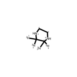 [2H]C1([2H])NCCNC1([2H])[2H]